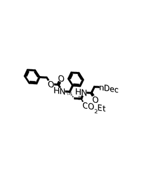 CCCCCCCCCCCC(=O)N[C@H](C[C@H](NC(=O)OCc1ccccc1)c1ccccc1)C(=O)OCC